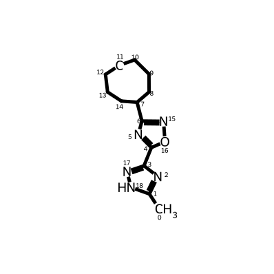 Cc1nc(-c2nc(C3CCCCCCC3)no2)n[nH]1